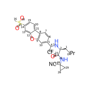 CC(C)C[C@H](NC(c1ccc2c(c1)oc1cc(S(C)(=O)=O)ccc12)C(F)(F)F)C(=O)NC1(C#N)CC1